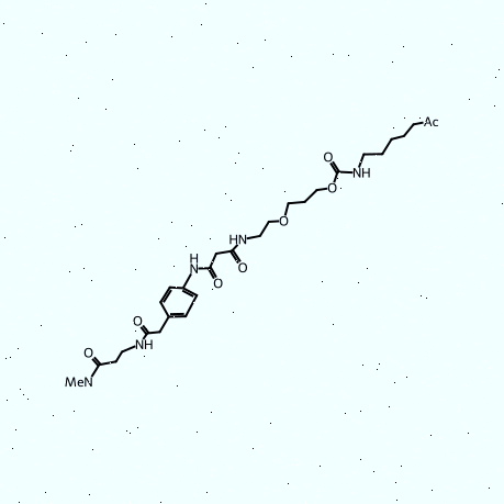 CNC(=O)CCNC(=O)Cc1ccc(NC(=O)CC(=O)NCCOCCCOC(=O)NCCCCCC(C)=O)cc1